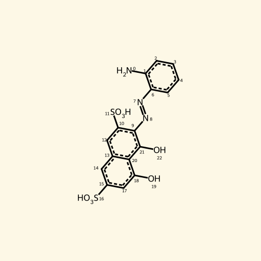 Nc1ccccc1/N=N/c1c(S(=O)(=O)O)cc2cc(S(=O)(=O)O)cc(O)c2c1O